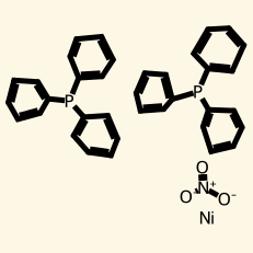 O=[N+]([O-])[O-].[Ni].c1ccc(P(c2ccccc2)c2ccccc2)cc1.c1ccc(P(c2ccccc2)c2ccccc2)cc1